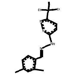 CCC(C)(CC)c1ccc(NN=Cc2ccc(C)cc2C)nn1